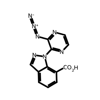 [N-]=[N+]=Nc1nccnc1-n1ncc2cccc(C(=O)O)c21